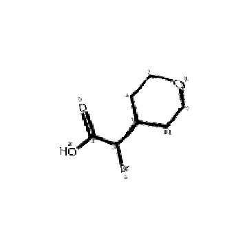 O=C(O)C(Br)C1CCOCC1